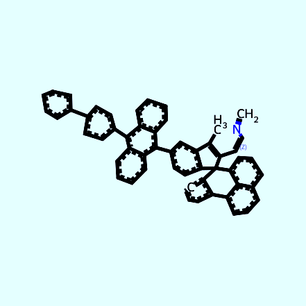 C=N/C=C\C1=C(C)c2cc(-c3c4ccccc4c(-c4ccc(-c5ccccc5)cc4)c4ccccc34)ccc2C12c1ccccc1-c1cccc3cccc2c13